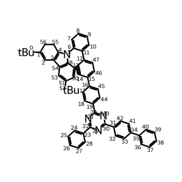 CC(C)(C)C1=Cc2c(n(-c3ccccc3-c3c#cc(-c4ccc(-c5nc(-c6ccccc6)nc(-c6ccc(-c7ccccc7)cc6)n5)cc4)cc3)c3ccc(C(C)(C)C)cc23)CC1